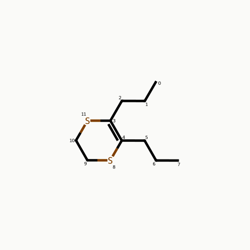 CCCC1=C(CCC)SCCS1